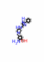 Nc1cc(CN2CCC(NCc3c[nH]c(-c4ccccc4)n3)CC2)ccc1O